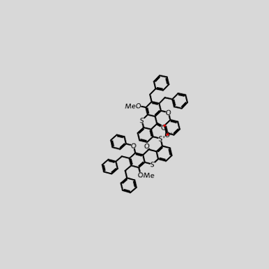 COc1c(Cc2ccccc2)c(Cc2ccccc2)c(Oc2ccccc2)c2c(=O)c3c([S+]([O-])c4cccc5sc6c(OC)c(Cc7ccccc7)c(Cc7ccccc7)c(Oc7ccccc7)c6c(=O)c45)cccc3sc12